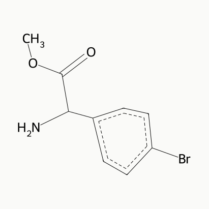 COC(=O)C(N)c1ccc(Br)cc1